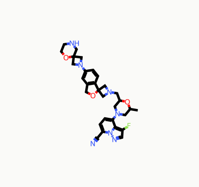 CC1CN(c2ccc(C#N)n3ncc(F)c23)CC(CN2CC3(C2)OCc2cc(N4CC5(CNCCO5)C4)ccc23)O1